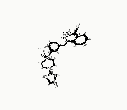 O=c1[nH]nc(Cc2ccc(F)c(P3(=O)CCN(c4nncs4)CC3)c2)c2ccccc12